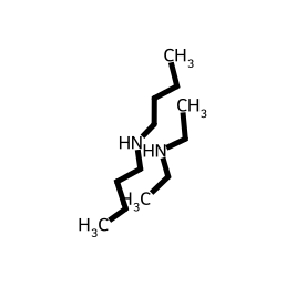 CCCCNCCCC.CCNCC